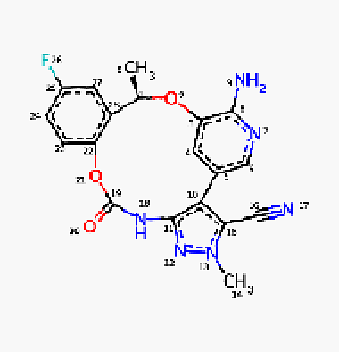 C[C@H]1Oc2cc(cnc2N)-c2c(nn(C)c2C#N)NC(=O)Oc2ccc(F)cc21